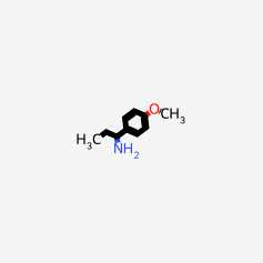 CCC(N)c1ccc(OC)cc1